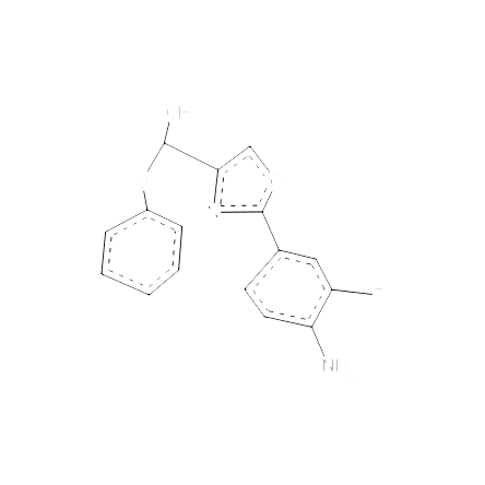 CC(Oc1cc[c]cc1)c1coc(-c2ccc(N)c(F)c2)n1